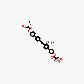 C=C(CO)C(=O)OC1CCC(c2ccc(C#Cc3ccc(C4CCC(OC(=O)C(=C)CO)CC4)cc3CCCCCC)cc2)CC1